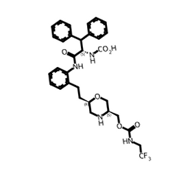 O=C(O)N[C@H](C(=O)Nc1ccccc1CC[C@@H]1CN[C@H](COC(=O)NCC(F)(F)F)CO1)C(c1ccccc1)c1ccccc1